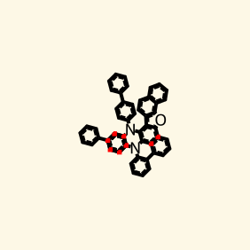 c1ccc(-c2ccc(N(c3ccccc3-c3ccccc3)c3ccc4oc5c6ccccc6ccc5c4c3N(c3ccccc3)c3ccc(-c4ccccc4)cc3)cc2)cc1